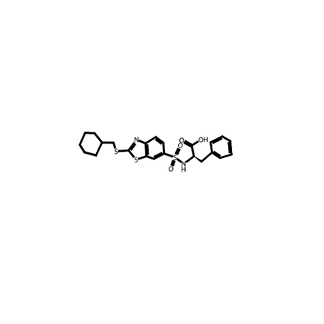 O=C(O)[C@@H](Cc1ccccc1)NS(=O)(=O)c1ccc2nc(SCC3CCCCC3)sc2c1